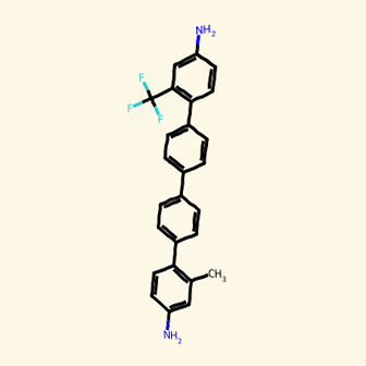 Cc1cc(N)ccc1-c1ccc(-c2ccc(-c3ccc(N)cc3C(F)(F)F)cc2)cc1